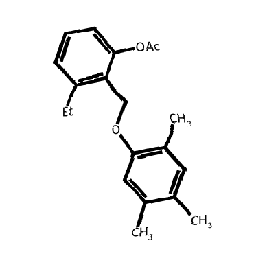 CCc1cccc(OC(C)=O)c1COc1cc(C)c(C)cc1C